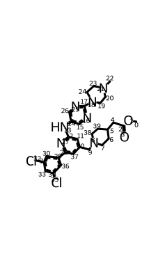 COC(=O)CC1CCN(Cc2cc(Nc3cnc(N4CCN(C)CC4)nc3)nc(-c3cc(Cl)cc(Cl)c3)c2)CC1